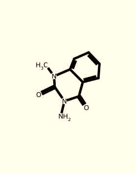 Cn1c(=O)n(N)c(=O)c2ccccc21